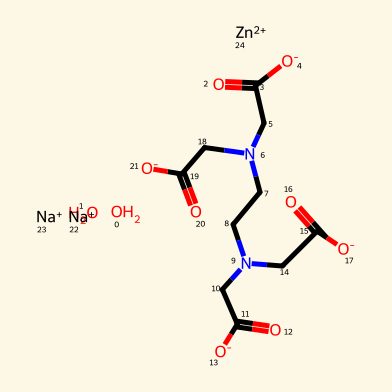 O.O.O=C([O-])CN(CCN(CC(=O)[O-])CC(=O)[O-])CC(=O)[O-].[Na+].[Na+].[Zn+2]